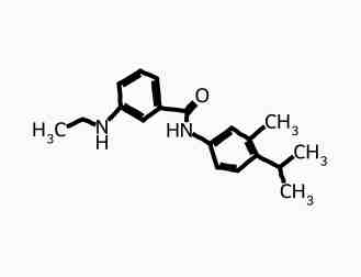 CCNc1cccc(C(=O)Nc2ccc(C(C)C)c(C)c2)c1